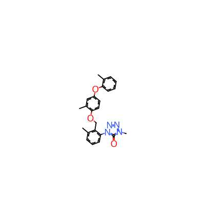 Cc1cc(Oc2ccccc2C)ccc1OCc1c(C)cccc1-n1nnn(C)c1=O